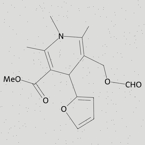 COC(=O)C1=C(C)N(C)C(C)=C(COC=O)C1c1ccco1